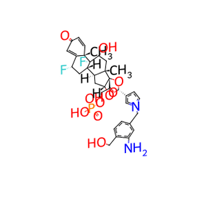 C[C@]12C=CC(=O)C=C1[C@@H](F)C[C@H]1[C@@H]3C[C@H]4O[C@@H](c5ccn(Cc6ccc(CO)c(N)c6)c5)O[C@@]4(C(=O)COP(=O)(O)O)[C@@]3(C)C[C@H](O)[C@@]12F